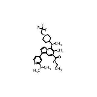 CCOC(=O)c1cc2c(-c3ccnc(N(C)C)c3)ccn2c(N(C)C2CCN(CC(F)(F)F)CC2)c1C